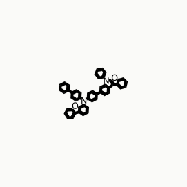 c1ccc(-c2ccc(N(c3ccc(-c4ccc5c6c7ccccc7oc6n(-c6ccccc6)c5c4)cc3)c3cccc4c3oc3ccccc34)cc2)cc1